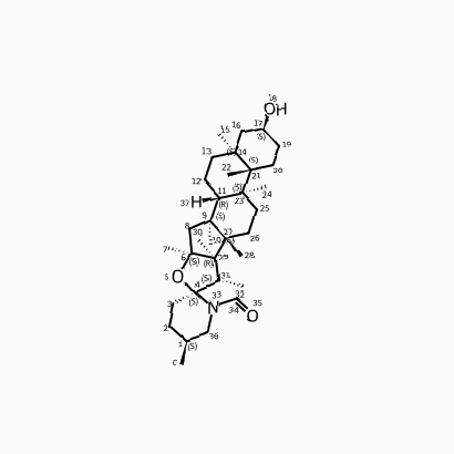 C[C@H]1CC[C@@]2(O[C@@]3(C)C[C@@]4(C)[C@@H]5CC[C@@]6(C)C[C@@H](O)CC[C@]6(C)[C@@]5(C)CC[C@]4(C)[C@@]3(C)[C@@H]2C)N(C=O)C1